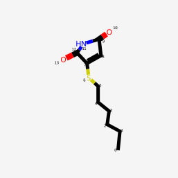 CCCCCCSC1=CC(=O)NC1=O